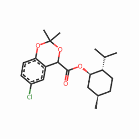 CC(C)[C@@H]1CC[C@@H](C)C[C@H]1OC(=O)C1OC(C)(C)Oc2ccc(Cl)cc21